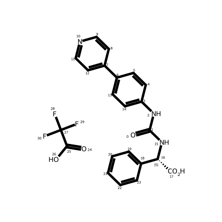 O=C(Nc1ccc(-c2ccncc2)cc1)N[C@H](C(=O)O)c1ccccc1.O=C(O)C(F)(F)F